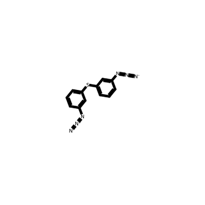 [N-]=[N+]=Nc1cccc(Sc2cccc(N=[N+]=[N-])c2)c1